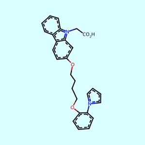 O=C(O)Cn1c2ccccc2c2ccc(OCCCCOc3ccccc3-n3cccc3)cc21